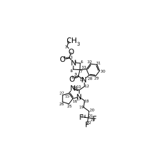 CCOC(=O)N1CC2(C1)C(=O)N(Cc1nc3c(n1CCCC(F)(F)F)CCC3)c1ccccc12